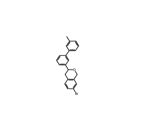 Cc1cccc(-c2cccc(C3Cc4ccc(Br)cc4CO3)c2)c1